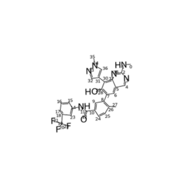 CNc1ncc2cc(-c3cc(C(=O)Nc4cccc(C(F)(F)F)c4)ccc3C)c(O)c(-c3cnn(C)c3)c2n1